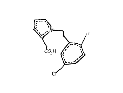 O=C(O)c1cccn1Cc1cc(Cl)ccc1Cl